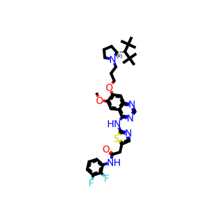 COc1cc2c(Nc3ncc(CC(=O)Nc4cccc(F)c4F)s3)ncnc2cc1OCCCN1CCC[C@@H]1[C](C(C)(C)C)C(C)(C)C